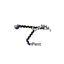 C/C=C(\N)CSSCC(COCCCCCCCC/C=C\C/C=C\CCCCC)OCCCCCCCC/C=C\C/C=C\CCCCC